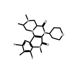 Cc1c(F)cc2c3c(c(=O)n(C)c2c1F)N(C1CCOCC1)C(=O)C1CN(C)C(C)CN31